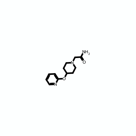 NC(=O)CN1CCC(Oc2ccccn2)CC1